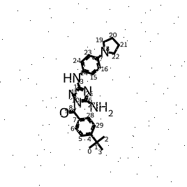 CC(C)(C)c1ccc(C(=O)n2nc(Nc3ccc(N4CCCC4)cc3)nc2N)cc1